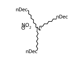 CCCCCCCCCCCCCCCCCC[N+](C)(CCCCCCCCCCCCCCCCCC)CCCCCCCCCCCCCCCCCC.O=[N+]([O-])[O-]